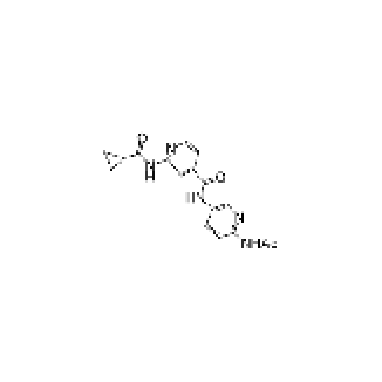 CC(=O)Nc1ccc(NC(=O)c2ccnc(NC(=O)C3CC3)c2)cn1